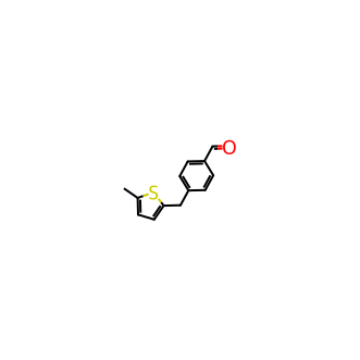 Cc1ccc(Cc2ccc(C=O)cc2)s1